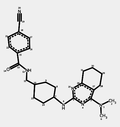 CN(C)c1nc(NC2CCC(CNC(=O)c3ccc(C#N)cc3)CC2)nc2c1CCCC2